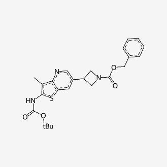 Cc1c(NC(=O)OC(C)(C)C)sc2cc(C3CN(C(=O)OCc4ccccc4)C3)cnc12